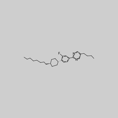 CCCCCCCC[C@H]1CC[C@H](c2ccc(-c3ncc(CCCC)cn3)cc2F)CC1